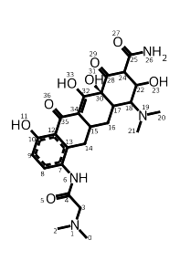 CN(C)CC(=O)Nc1ccc(O)c2c1CC1CC3C(N(C)C)C(O)C(C(N)=O)C(=O)[C@@]3(O)C(O)=C1C2=O